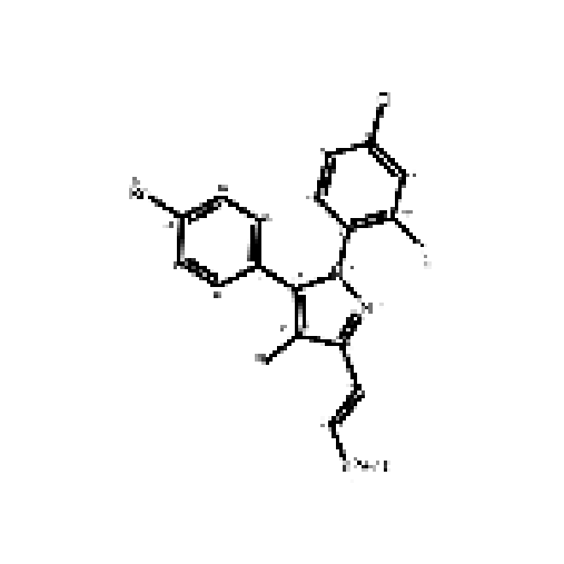 CCCCCC=Cc1nn(-c2ccc(Cl)cc2Cl)c(-c2ccc(Br)cc2)c1C